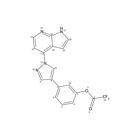 O=C(Oc1cccc(-c2cnn(-c3ccnc4[nH]ccc34)c2)c1)C(F)(F)F